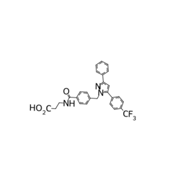 O=C(O)CCNC(=O)c1ccc(Cn2nc(-c3ccccc3)cc2-c2ccc(C(F)(F)F)cc2)cc1